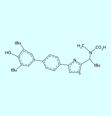 CN(C(=O)O)C(c1nc(-c2ccc(-c3cc(C(C)(C)C)c(O)c(C(C)(C)C)c3)cc2)cs1)C(C)(C)C